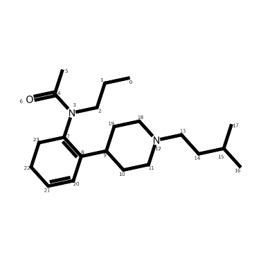 CCCN(C(C)=O)C1=C(C2CCN(CCC(C)C)CC2)C=CCC1